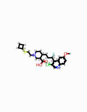 COc1ccc2ncc(Cl)c(C(F)CCC3CCN(CCSC4CCC4)CC3C(=O)O)c2c1